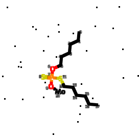 CCCCCCOP(=S)([O][Mo])SCCCCCC